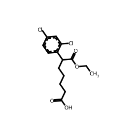 CCOC(=O)C(CCCCC(=O)O)c1ccc(Cl)cc1Cl